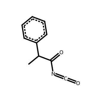 CC(C(=O)N=C=O)c1ccccc1